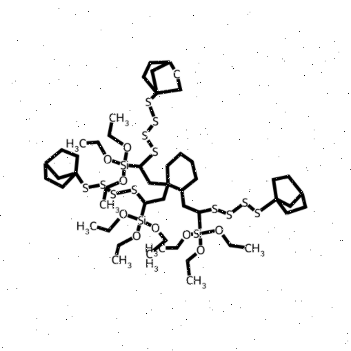 CCO[Si](OCC)(OCC)C(CC1CCCCC1(CC(SSSSC12CCC(CC1)C2)[Si](OCC)(OCC)OCC)CC(SSSSC12CCC(CC1)C2)[Si](OCC)(OCC)OCC)SSSSC12CCC(CC1)C2